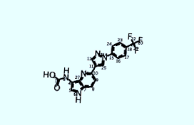 O=C(O)Nc1c[nH]c2ccc(-c3cnn(-c4ccc(C(F)(F)F)cc4)c3)nc12